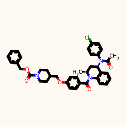 CC(=O)N(c1ccc(Cl)cc1)[C@@H]1C[C@H](C)N(C(=O)c2ccc(OCC3CCN(C(=O)OCc4ccccc4)CC3)cc2)c2ccccc21